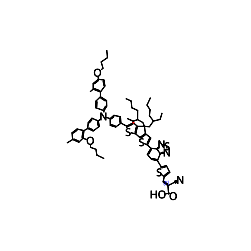 CCCCOc1ccc(-c2ccc(N(c3ccc(-c4cc5c(s4)-c4sc(-c6ccc(-c7ccc(/C=C(\C#N)C(=O)O)s7)c7nsnc67)cc4C5(CC(CC)CCCC)CC(CC)CCCC)cc3)c3ccc(-c4ccc(C)cc4OCCCC)cc3)cc2)c(C)c1